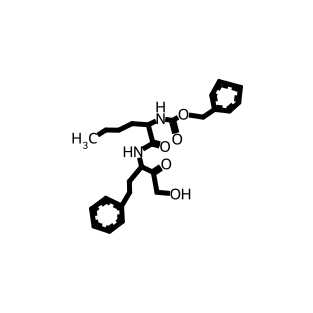 CCCCC(NC(=O)OCc1ccccc1)C(=O)NC(CCc1ccccc1)C(=O)CO